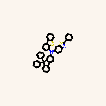 c1ccc(-c2nc3ccc(N(c4ccc5c(c4)C(c4ccccc4)(c4ccccc4)c4ccccc4-5)c4cccc5c4sc4ccccc45)cc3s2)cc1